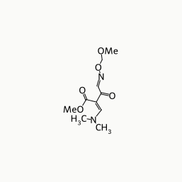 COCON=CC(=O)C(=CN(C)C)C(=O)OC